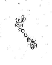 CC[C@@H]1CC[C@@H](c2ncc(-c3ccc(-c4ccc5cc(-c6cnc([C@@H]7CC8(CC8)CN7C(=O)[C@@H](NC(=O)OC)C(C)C)[nH]6)ccc5c4)cc3)[nH]2)N1C(=O)[C@@H](NC(=O)OC)C(C)C